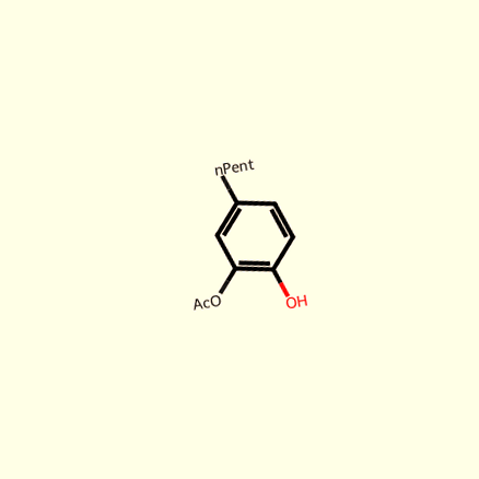 CCCCCc1ccc(O)c(OC(C)=O)c1